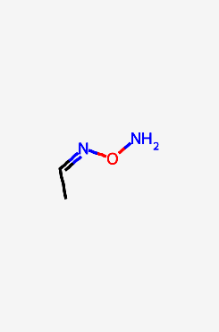 C/C=N\ON